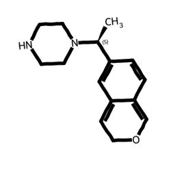 C[C@@H](c1ccc2c(c1)=CCOC=2)N1CCNCC1